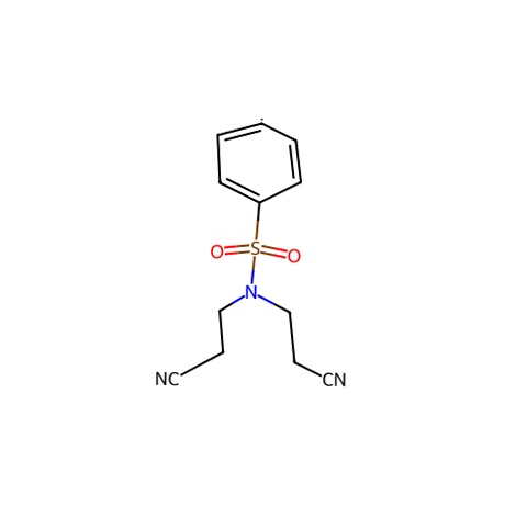 N#CCCN(CCC#N)S(=O)(=O)c1cc[c]cc1